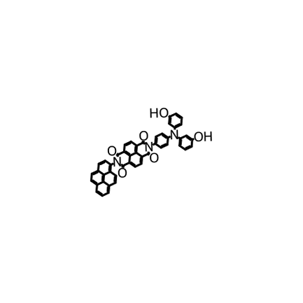 O=C1c2ccc3c4c(ccc(c24)C(=O)N1c1ccc(N(c2cccc(O)c2)c2cccc(O)c2)cc1)C(=O)N(c1ccc2ccc4cccc5ccc1c2c45)C3=O